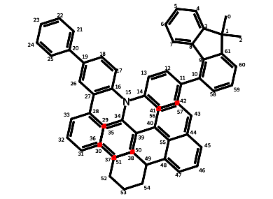 CC1(C)c2ccccc2-c2c(-c3ccc(N(c4ccc(-c5ccccc5)cc4-c4ccccc4)c4ccccc4-c4cccc5cccc(C6CCCCC6)c45)cc3)cccc21